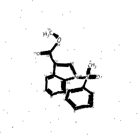 C=S(=O)(c1ccccc1)n1cc(C(=O)OC)c2ccccc21